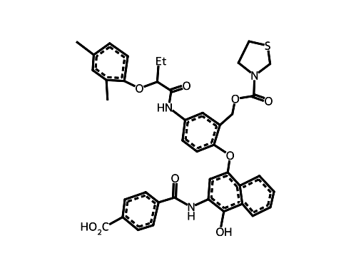 CCC(Oc1ccc(C)cc1C)C(=O)Nc1ccc(Oc2cc(NC(=O)c3ccc(C(=O)O)cc3)c(O)c3ccccc23)c(COC(=O)N2CCSC2)c1